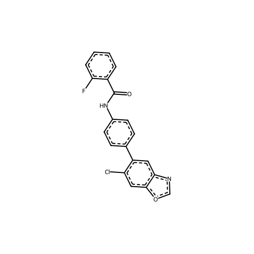 O=C(Nc1ccc(-c2cc3ncoc3cc2Cl)cc1)c1ccccc1F